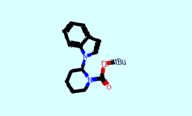 CC(C)(C)OC(=O)N1CCCCC1n1ccc2ccccc21